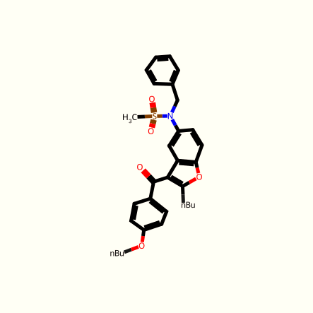 CCCCOc1ccc(C(=O)c2c(CCCC)oc3ccc(N(Cc4ccccc4)S(C)(=O)=O)cc23)cc1